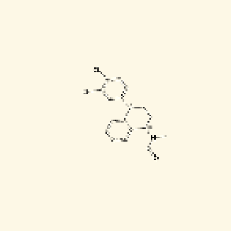 CN(C=O)[C@H]1CC[C@@H](c2ccc(Cl)c(Cl)c2)c2ccccc21